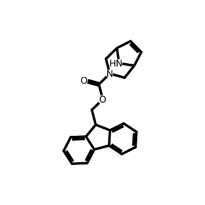 O=C(OCC1c2ccccc2-c2ccccc21)N1CC2C=CC(C1)N2